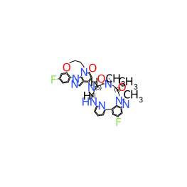 CO[C@H]1CN(C)C(=O)[C@@H]2C[C@@H](CN2c2cc(=O)n3c4c2cnn4-c2ccc(F)cc2OCCCC3)Nc2cccc(n2)-c2cc(F)cc3nc(C)n(c23)C1